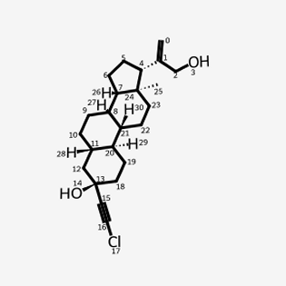 C=C(CO)[C@H]1CC[C@H]2[C@@H]3CC[C@H]4C[C@@](O)(C#CCl)CC[C@@H]4[C@H]3CC[C@]12C